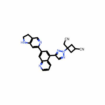 N#CCC1(n2ncc(-c3cc(-c4cc5c(cn4)CCN5)cc4ncccc34)n2)CC(C#N)C1